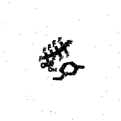 CCN1C=CC=C(C)C1.O=S(=O)(O)C(F)(F)C(F)(F)C(F)(F)C(F)(F)F